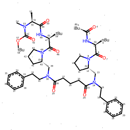 CCCC[C@H](NC(=O)[C@H](C)CC)C(=O)N1CCC[C@H]1CN(CCc1ccccc1)C(=O)CCCC(=O)N(CCc1ccccc1)C[C@@H]1CCCN1C(=O)[C@@H](NC(=O)[C@H](C)N(C)C(=O)OC(C)(C)C)C(C)(C)C